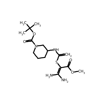 C=C(NC1CCCN(C(=O)OC(C)(C)C)C1)SC(C(=O)OC)=C(N)N